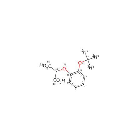 [2H]C([2H])([2H])Oc1ccccc1OC(C(=O)O)C(=O)O